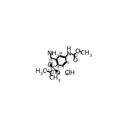 COC(=O)Nc1ccc(S(=O)(=O)C(C)C)c(CN)c1.Cl